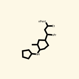 CCCCCC(CC)CC(CCC)C1CCC(NC2CCCC2)C(C)C1